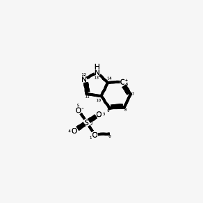 COS(=O)(=O)[O-].[C+]1=CC=CC2C=NNC12